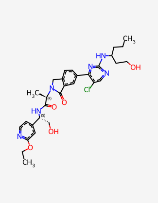 CCCC(CCO)Nc1ncc(Cl)c(-c2ccc3c(c2)C(=O)N([C@H](C)C(=O)N[C@H](CO)c2ccnc(OCC)c2)C3)n1